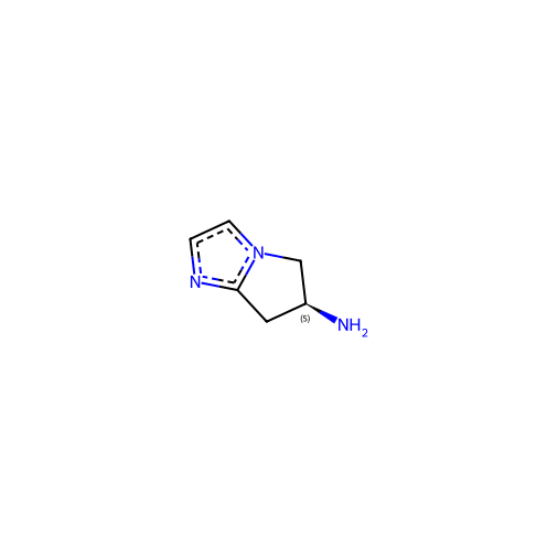 N[C@H]1Cc2nccn2C1